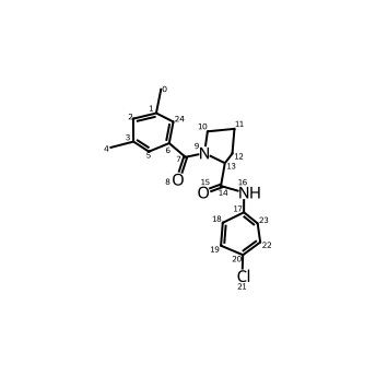 Cc1cc(C)cc(C(=O)N2CCCC2C(=O)Nc2ccc(Cl)cc2)c1